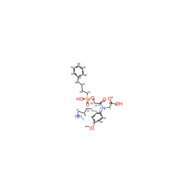 COc1ccc(N(CC(=O)O)C(=O)[C@H](CCCCN)OP(=O)(O)CCCCc2ccccc2)cc1